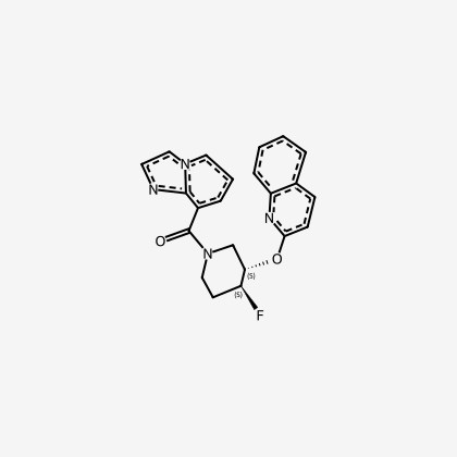 O=C(c1cccn2ccnc12)N1CC[C@H](F)[C@@H](Oc2ccc3ccccc3n2)C1